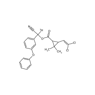 [2H]C(C#N)(OC(=O)C1C(C=C(Cl)Cl)C1(C)C)c1cccc(Oc2ccccc2)c1